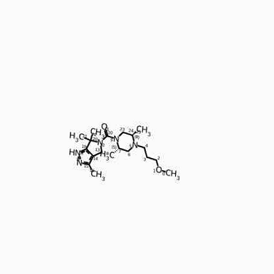 COCCCN1C[C@H](C)N(C(=O)N2Cc3c(C)n[nH]c3C2(C)C)C[C@H]1C